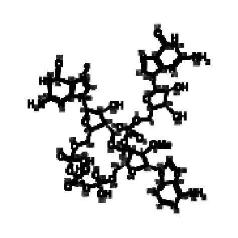 CO[C@@H]1[C@H](OP(=O)([O-])OC[C@H]2O[C@@H](n3cnc4c(=O)[nH]c(N)nc43)[C@H](O)[C@@H]2O)[C@@H](COP(=O)(O)OP(=O)(O)OP(=O)(O)OC[C@H]2O[C@@H](n3c[n+](C)c4c(=O)[nH]c(N)nc43)[C@H](O)[C@@H]2COC(C)C)O[C@H]1n1cnc2c(N)ncnc21